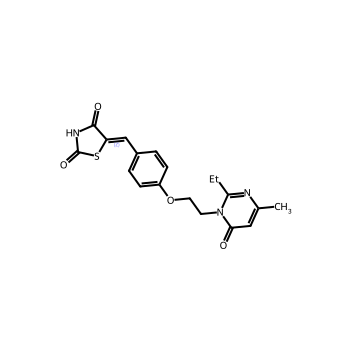 CCc1nc(C)cc(=O)n1CCOc1ccc(/C=C2\SC(=O)NC2=O)cc1